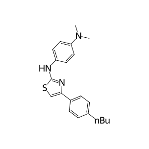 CCCCc1ccc(-c2csc(Nc3ccc(N(C)C)cc3)n2)cc1